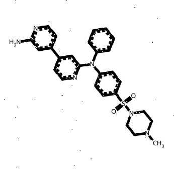 CN1CCN(S(=O)(=O)c2ccc(N(c3ccccc3)c3cc(-c4ccnc(N)c4)ccn3)cc2)CC1